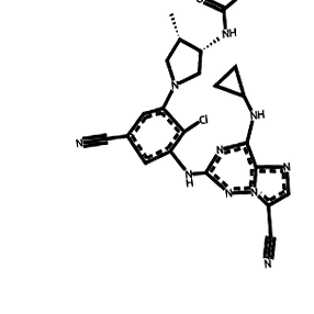 C[C@H]1CN(c2cc(C#N)cc(Nc3nc(NC4CC4)c4ncc(C#N)n4n3)c2Cl)C[C@H]1NC(=O)O